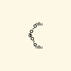 CCCC[C@H]1CC[C@H](CC[C@H]2CC[C@H](C(C)(C)OC(C)(C)[C@H]3CC[C@H](CC[C@H]4CC[C@H](CCCC)CC4)CC3)CC2)CC1